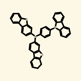 C1=Cc2c(sc3cc(N(c4ccc(-n5c6ccccc6c6ccccc65)cc4)c4ccc5c(c4)sc4ccccc45)ccc23)CC1